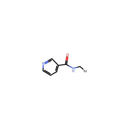 [2H]CNC(=O)c1cccnc1